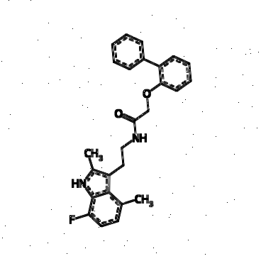 Cc1[nH]c2c(F)ccc(C)c2c1CCNC(=O)COc1ccccc1-c1ccccc1